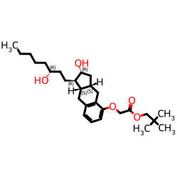 CCCCC[C@@H](O)CC[C@@H]1[C@H]2Cc3cccc(OCC(=O)OCC(C)(C)C)c3C[C@H]2C[C@H]1O